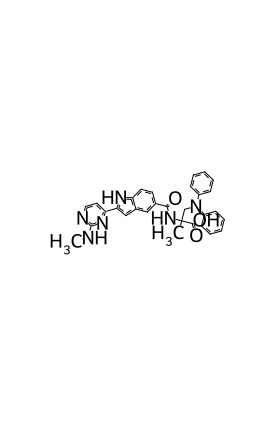 CNc1nccc(-c2cc3cc(C(=O)NC(C)(CN(c4ccccc4)c4ccccc4)C(=O)O)ccc3[nH]2)n1